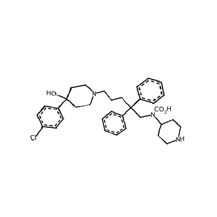 O=C(O)N(CC(CCCN1CCC(O)(c2ccc(Cl)cc2)CC1)(c1ccccc1)c1ccccc1)C1CCNCC1